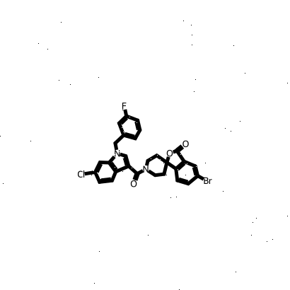 O=C1OC2(CCN(C(=O)c3cn(Cc4cccc(F)c4)c4cc(Cl)ccc34)CC2)c2ccc(Br)cc21